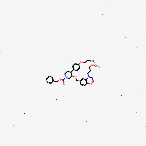 CCCOc1ccc(C2CCN(C(=O)OCc3ccccc3)CC2OCc2ccc3c(c2)N(CCCOC)CCO3)cc1